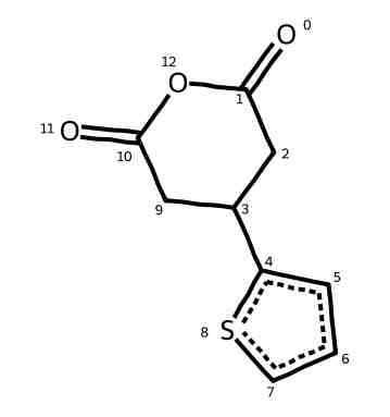 O=C1CC(c2cccs2)CC(=O)O1